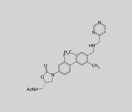 CC(=O)NC[C@H]1CN(c2ccc(-c3cc(C)c(CNCc4ccncn4)cc3C)c(F)c2)C(=O)O1